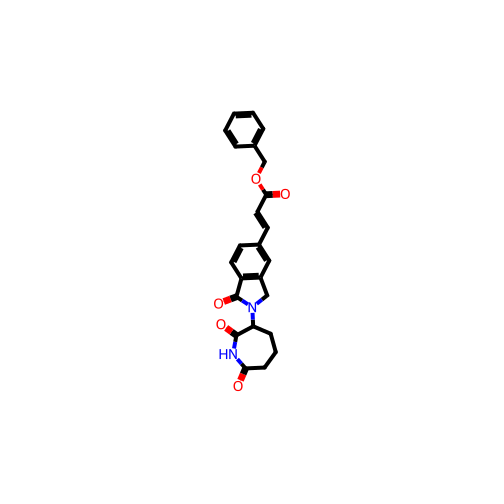 O=C1CCCC(N2Cc3cc(/C=C/C(=O)OCc4ccccc4)ccc3C2=O)C(=O)N1